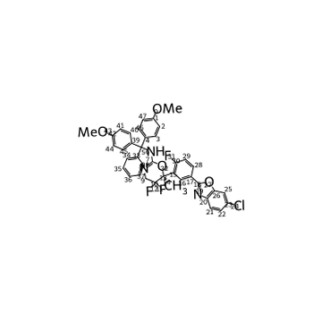 COc1ccc(C(NC2=NCC(F)(F)[C@@](C)(c3cc(-c4nc5ccc(Cl)cc5o4)ccc3F)O2)(c2ccccc2)c2ccc(OC)cc2)cc1